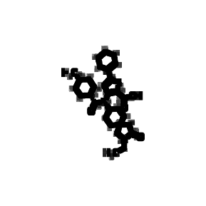 CCN1CC2(CCC(N(c3cc(C4=CCCCC4)sc3C(=O)O)C(=O)[C@H]3CC[C@H](C)CC3)CC2)CC1=O